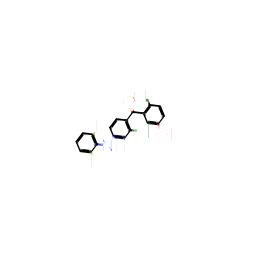 O=C(c1ccc(Nc2c(F)cccc2F)cc1Cl)c1cc(O)ccc1Cl